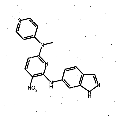 CN(c1ccncc1)c1ccc([N+](=O)[O-])c(Nc2ccc3cn[nH]c3c2)n1